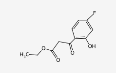 CCOC(=O)CC(=O)c1ccc(F)cc1O